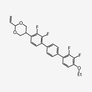 C=CC1OCC(c2ccc(-c3ccc(-c4ccc(OCC)c(F)c4F)cc3)c(F)c2F)CO1